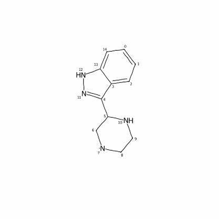 c1ccc2c(C3C[N]CCN3)n[nH]c2c1